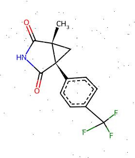 C[C@@]12C[C@]1(c1ccc(C(F)(F)F)cc1)C(=O)NC2=O